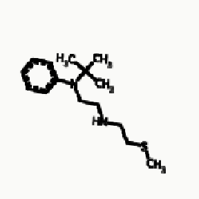 CSCCNCCN(c1ccccc1)C(C)(C)C